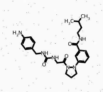 CC(C)CCNC(=O)c1cccc(N2CCCN2C(=O)CNC(=O)NCc2ccc(N)cc2)c1